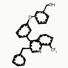 OCc1cccc(Oc2cccc(-c3c(Cc4ccccc4)cnc4c(C(F)(F)F)cccc34)c2)c1